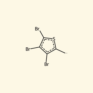 [CH2]c1sc(Br)c(Br)c1Br